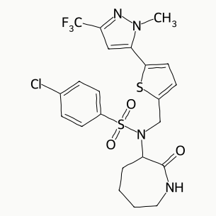 Cn1nc(C(F)(F)F)cc1-c1ccc(CN(C2CCCCNC2=O)S(=O)(=O)c2ccc(Cl)cc2)s1